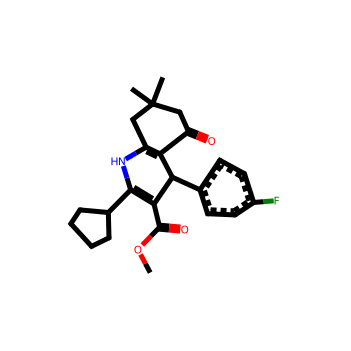 COC(=O)C1=C(C2CCCC2)NC2=C(C(=O)CC(C)(C)C2)C1c1ccc(F)cc1